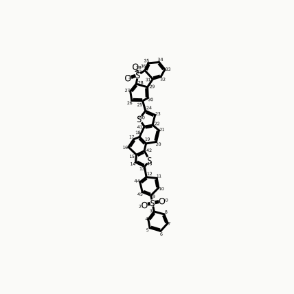 O=S(=O)(c1ccccc1)c1ccc(-c2cc3ccc4c(ccc5cc(-c6ccc7c(c6)-c6ccccc6S7(=O)=O)sc54)c3s2)cc1